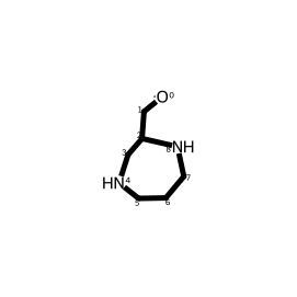 [O]CC1CNCCCN1